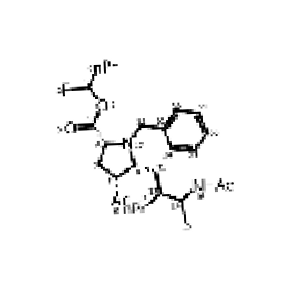 CCCC(F)OC(=O)[C@H]1C[C@@H](C(C)=O)[C@@H](CC(CCC)C(C)NC(C)=O)N1Cc1ccccc1